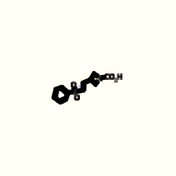 O=C(O)N1CC(/C=C/S(=O)(=O)c2ccccc2)C1